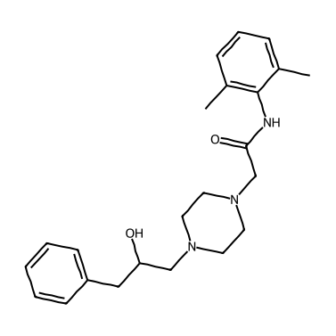 Cc1cccc(C)c1NC(=O)CN1CCN(CC(O)Cc2ccccc2)CC1